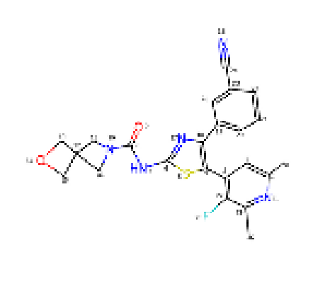 Cc1cc(-c2sc(NC(=O)N3CC4(COC4)C3)nc2-c2cccc(C#N)c2)c(F)c(C)n1